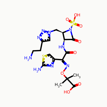 CC(C)(ON=C(C(=O)N[C@@H]1C(=O)N(S(=O)(=O)O)[C@@H]1Cn1cc(CCN)nn1)c1csc(N)n1)C(=O)O